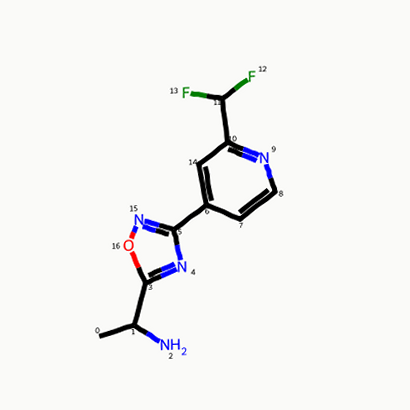 CC(N)c1nc(-c2ccnc(C(F)F)c2)no1